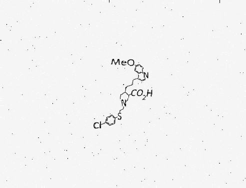 COc1ccc2nccc(CCC[C@@H]3CCN(CCSc4ccc(Cl)cc4)C[C@@H]3C(=O)O)c2c1